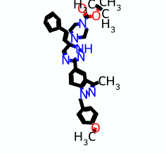 COc1ccc(Cn2nc(C)c3cc(C4=NNC(C=Cc5ccccc5)(N5CCN(C(=O)OC(C)(C)C)CC5)C=N4)ccc32)cc1